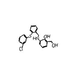 OCc1cccc(NCc2ccccc2Sc2cccc(Cl)c2)c1O